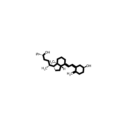 C=C1CC[C@H](O)C/C1=C/C=C1\CCC[C@]2(C)[C@@H]([C@H](C)CC[C@@H](O)C(C)C)CC[C@@H]12